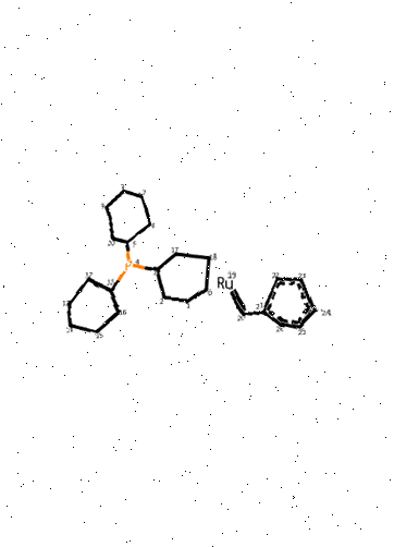 C1CCC(P(C2CCCCC2)C2CCCCC2)CC1.[Ru]=[CH]c1ccccc1